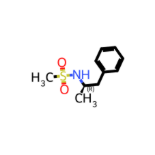 C[C@H](Cc1ccccc1)NS(C)(=O)=O